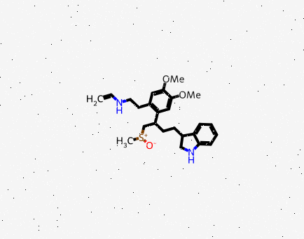 C=CNCCc1cc(OC)c(OC)cc1C(CCC1CNc2ccccc21)C[S+](C)[O-]